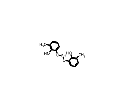 Cc1cccc(OBOc2cccc(C)c2O)c1O